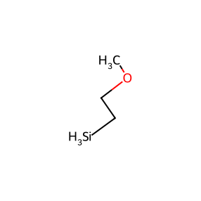 COCC[SiH3]